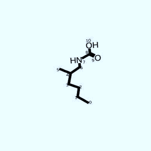 CCCCC(C)CNC(=O)O